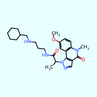 COc1ccc2c(c1)c1c(cnn1C(C)C(=O)NCCCNCC1CCCCC1)c(=O)n2C